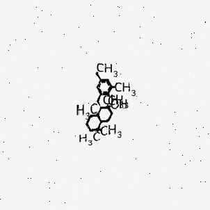 CCc1cc(C)c(C)c(C[C@@H]2[C@@]3(C)CCCC(C)(C)C3CC[C@@]2(C)O)c1